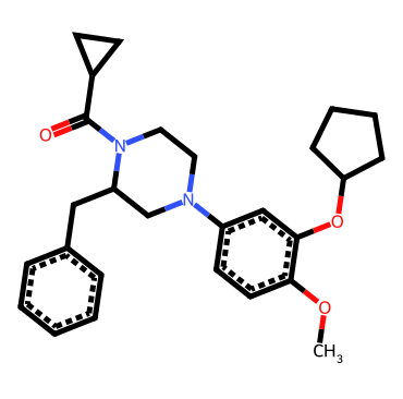 COc1ccc(N2CCN(C(=O)C3CC3)C(Cc3ccccc3)C2)cc1OC1CCCC1